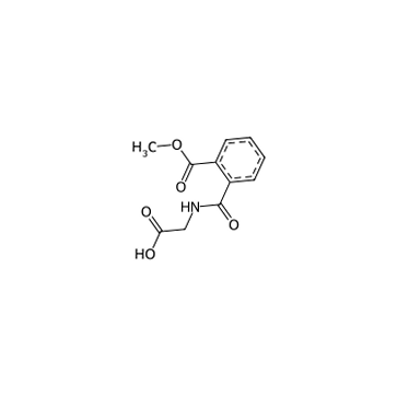 COC(=O)c1ccccc1C(=O)NCC(=O)O